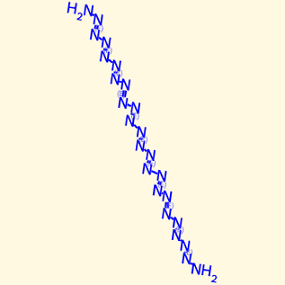 N/N=N/N=N/N=N/N=N/N=N/N=N/N=N/N=N/N=N/N=N/N=N/N